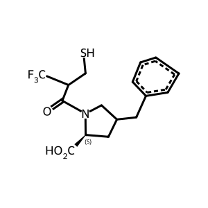 O=C(O)[C@@H]1CC(Cc2ccccc2)CN1C(=O)C(CS)C(F)(F)F